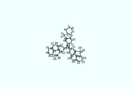 CC1(C)c2ccccc2-c2ccc(N(c3cc4c5c(ccc6cccc(c65)C4(C)C)c3)c3cc4c5c(ccc6cccc(c65)C4(C)C)c3)cc21